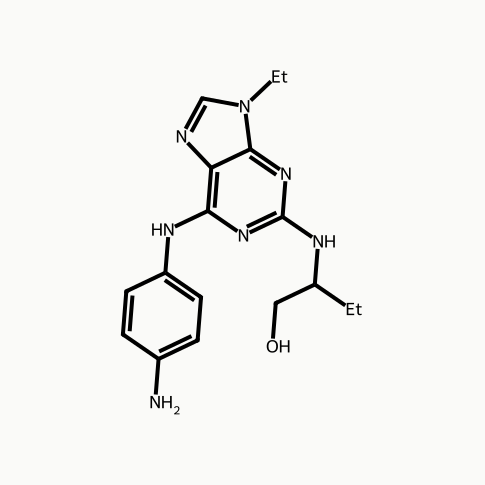 CCC(CO)Nc1nc(Nc2ccc(N)cc2)c2ncn(CC)c2n1